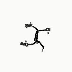 COC(C)=C(C#N)OC